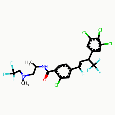 CC(CN(C)CC(F)(F)F)NC(=O)c1ccc(/C(F)=C/C(c2cc(Cl)c(Cl)c(Cl)c2)C(F)(F)F)cc1Cl